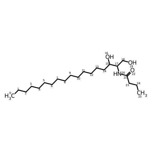 CCCCCCCCCCCCCCCC(O)C(CO)NC(=O)CCC